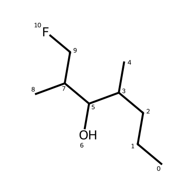 CCCC(C)C(O)C(C)CF